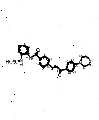 O=C(O)Nc1ccccc1NC(=O)c1ccc(/C=C/C(=O)c2ccc(N3CCOCC3)cc2)cc1